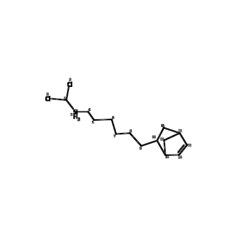 ClC(Cl)[SiH2]CCCCCCC1CC2C=CC1C2